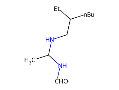 CCCCC(CC)CNC(C)N[C]=O